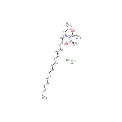 CCCCCCCCCCCCCCCCCCN(CCC)N(C(C)O)C(C)O.F.F